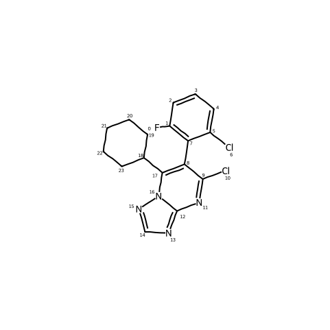 Fc1cccc(Cl)c1-c1c(Cl)nc2ncnn2c1C1CCCCC1